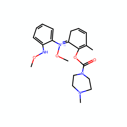 CONc1ccccc1/[N+](OC)=C1\CC=CC(C)=C1OC(=O)N1CCN(C)CC1